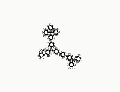 CC1(C)c2ccccc2-c2ccc(N(c3ccc(-c4ccc(-c5ccc6c(c5)c5ccccc5n6C5=CCCC=C5)cc4)cc3)c3ccc(-c4ccc5c(c4)-c4ccccc4C5(c4ccccc4)c4ccccc4)cc3)cc21